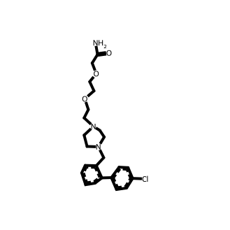 NC(=O)COCCOCCN1CCN(Cc2ccccc2-c2ccc(Cl)cc2)CC1